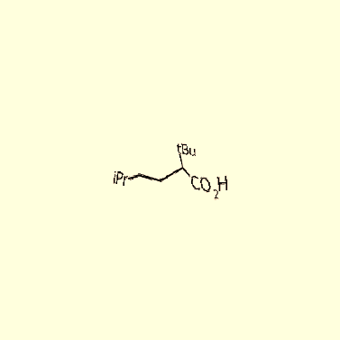 CC(C)CCC(C(=O)O)C(C)(C)C